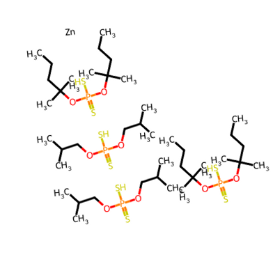 CC(C)COP(=S)(S)OCC(C)C.CC(C)COP(=S)(S)OCC(C)C.CCCC(C)(C)OP(=S)(S)OC(C)(C)CCC.CCCC(C)(C)OP(=S)(S)OC(C)(C)CCC.[Zn]